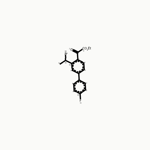 CCOC(=O)C(=O)c1ccc(-c2ccc(F)cc2)cc1C(C)Br